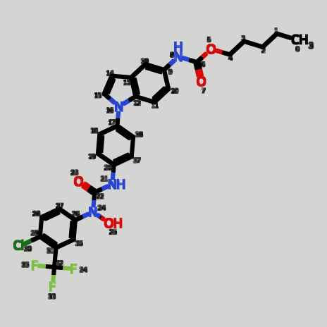 CCCCCOC(=O)Nc1ccc2c(ccn2-c2ccc(NC(=O)N(O)c3ccc(Cl)c(C(F)(F)F)c3)cc2)c1